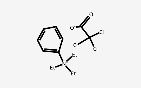 CC[N+](CC)(CC)c1ccccc1.O=C([O-])C(Cl)(Cl)Cl